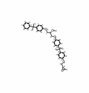 COC(COc1ccc(C(C)(C)c2ccccc2)cc1)COc1ccc(C(C)(C)c2ccc(OCC3CO3)cc2)cc1